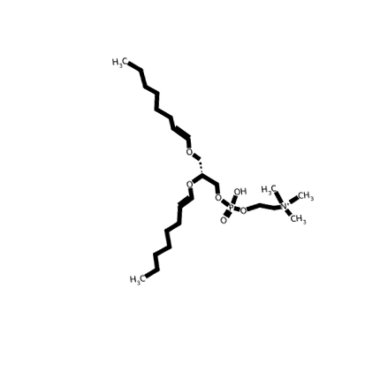 CCCCCCC=COC[C@H](COP(=O)(O)OCC[N+](C)(C)C)OC=CCCCCCC